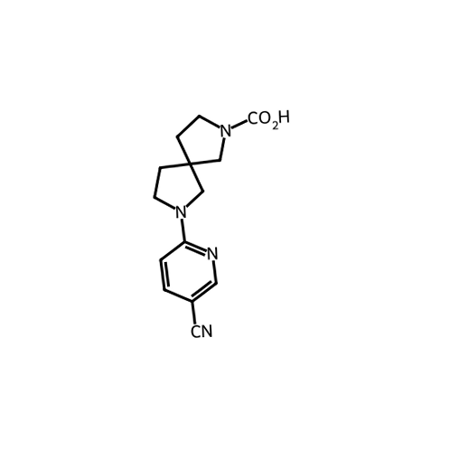 N#Cc1ccc(N2CCC3(CCN(C(=O)O)C3)C2)nc1